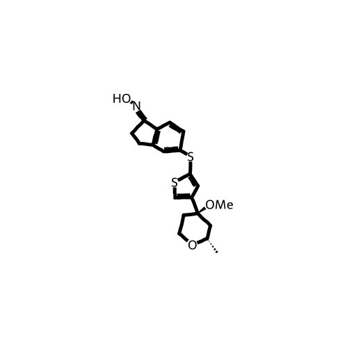 CO[C@]1(c2csc(Sc3ccc4c(c3)CC/C4=N\O)c2)CCO[C@@H](C)C1